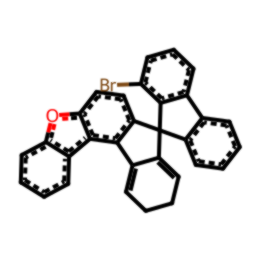 Brc1cccc2c1C1(C3=CCCC=C3c3c1ccc1oc4ccccc4c31)c1ccccc1-2